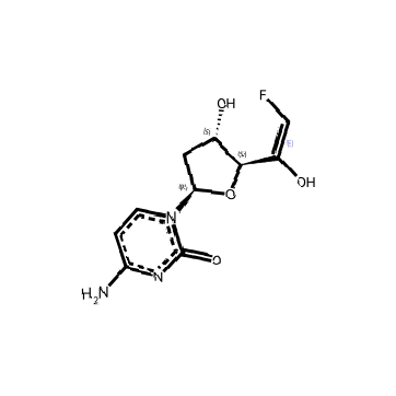 Nc1ccn([C@H]2C[C@H](O)[C@@H](/C(O)=C\F)O2)c(=O)n1